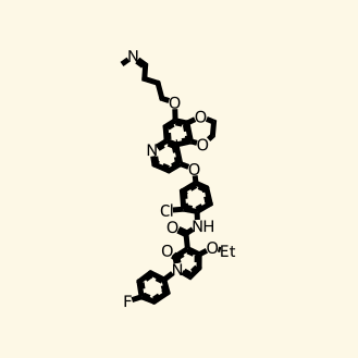 CCOc1ccn(-c2ccc(F)cc2)c(=O)c1C(=O)Nc1ccc(Oc2ccnc3cc(OCCC/C=N\C)c4c(c23)OCCO4)cc1Cl